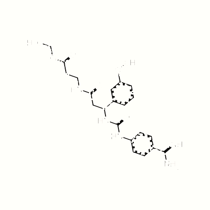 CCOC(=O)CCNC(=O)CC(NC(=O)Nc1ccc(C(=N)N)cc1)c1cccc(OC)c1